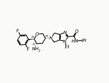 CCn1c(C(=O)NC(C)C)nc2c1CN([C@H]1CO[C@H](c3cc(F)ccc3F)[C@@H](N)C1)C2